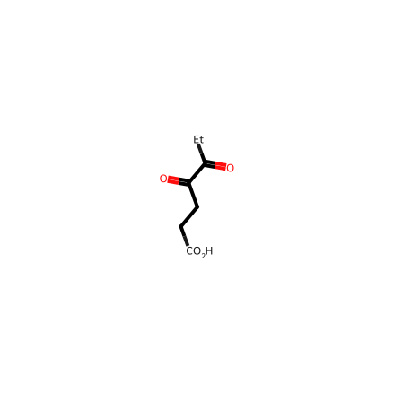 CCC(=O)C(=O)CCC(=O)O